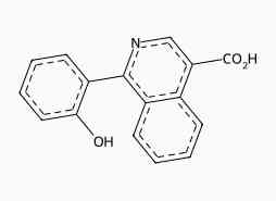 O=C(O)c1cnc(-c2ccccc2O)c2ccccc12